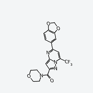 O=C(c1cc2nc(-c3ccc4c(c3)OCO4)cc(C(F)(F)F)n2n1)N1CCOCC1